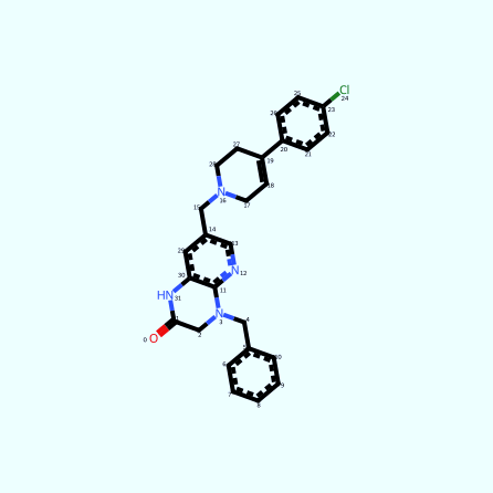 O=C1CN(Cc2ccccc2)c2ncc(CN3CC=C(c4ccc(Cl)cc4)CC3)cc2N1